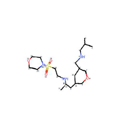 CC(C)CNCC1COCC(C[C@@H](C)NCCS(=O)(=O)N2CCOCC2)C1